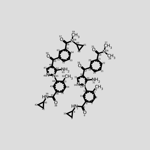 Cc1ccc(C(=O)NC2CC2)cc1-n1ncc(C(=O)c2cccc(C(=O)N(C)C)c2)c1N.Cc1ccc(C(=O)NC2CC2)cc1-n1ncc(C(=O)c2cccc(C(=O)N(C)C3CC3)c2)c1N